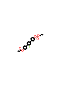 C=CCOC(=O)Oc1ccc(-c2ccc(-c3ccc(OC(=O)C=C)cc3)c(F)c2)cc1